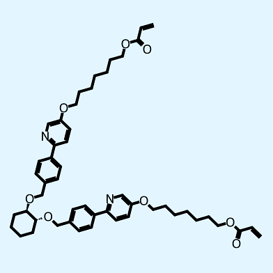 C=CC(=O)OCCCCCCCOc1ccc(-c2ccc(CO[C@@H]3CCCC[C@H]3OCc3ccc(-c4ccc(OCCCCCCCOC(=O)C=C)cn4)cc3)cc2)nc1